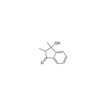 CC1C(=O)c2ccccc2C1(C)O